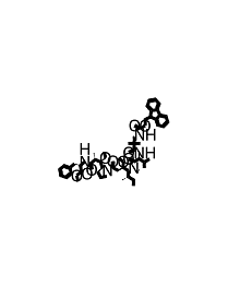 CC[C@H](C)C([C@@H](CC(=O)N1CCC[C@H]1[C@H](OC)[C@@H](C)C(=O)N[C@@H](Cc1ccccc1)C(=O)OC)OC)N(C)C(=O)[C@@H](NC(=O)C(C)(C)CNC(=O)OCC1c2ccccc2-c2ccccc21)C(C)C